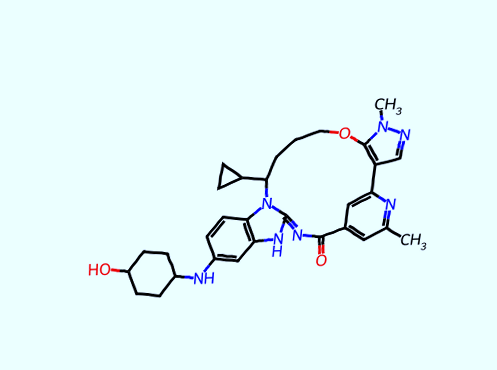 Cc1cc2cc(n1)-c1cnn(C)c1OCCCC(C1CC1)N1/C(=N/C2=O)Nc2cc(NC3CCC(O)CC3)ccc21